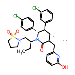 CC[C@@H](CN1CCCS1(=O)=O)N1C(=O)C(Cc2cccc(O)n2)C[C@H](c2cccc(Cl)c2)[C@H]1c1ccc(Cl)cc1